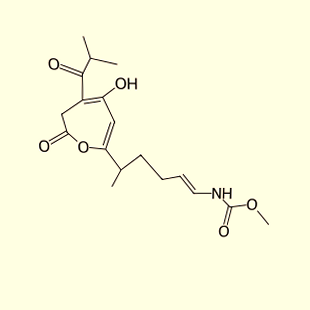 COC(=O)N/C=C/CCC(C)C1=CC(O)=C(C(=O)C(C)C)CC(=O)O1